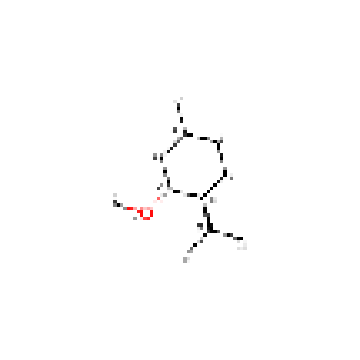 CO[C@@H]1CC(C)CC[C@H]1C(C)C